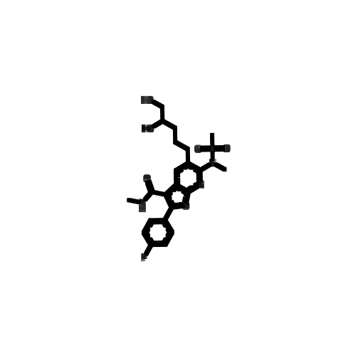 CNC(=O)c1c(-c2ccc(F)cc2)oc2nc(N(C)S(C)(=O)=O)c(CCCC(O)CO)cc12